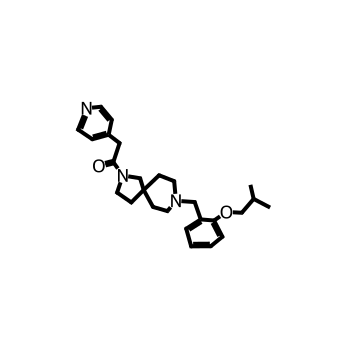 CC(C)COc1ccccc1CN1CCC2(CC1)CCN(C(=O)Cc1ccncc1)C2